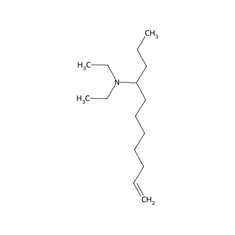 C=CCCCCCC(CCC)N(CC)CC